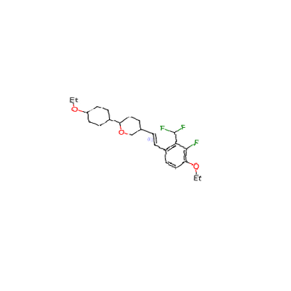 CCOc1ccc(/C=C/C2CCC(C3CCC(OCC)CC3)OC2)c(C(F)F)c1F